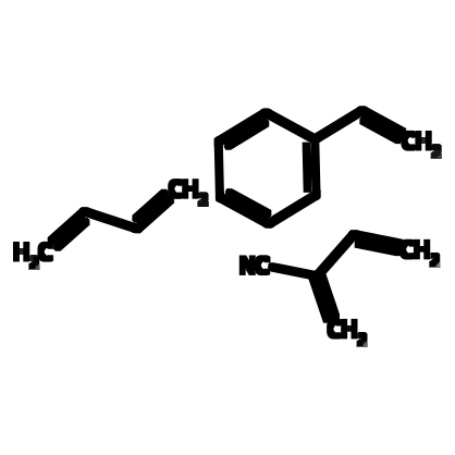 C=CC(=C)C#N.C=CC=C.C=Cc1ccccc1